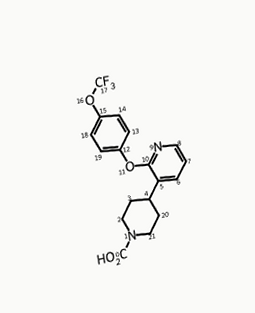 O=C(O)N1CCC(c2cccnc2Oc2ccc(OC(F)(F)F)cc2)CC1